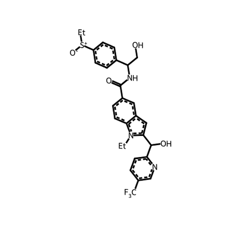 CCn1c(C(O)c2ccc(C(F)(F)F)cn2)cc2cc(C(=O)NC(CO)c3ccc([S+]([O-])CC)cc3)ccc21